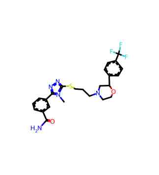 Cn1c(SCCCN2CCOC(c3ccc(C(F)(F)F)cc3)C2)nnc1-c1cccc(C(N)=O)c1